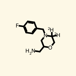 [2H]C1([2H])COC(CN)CN1Cc1ccc(F)cc1